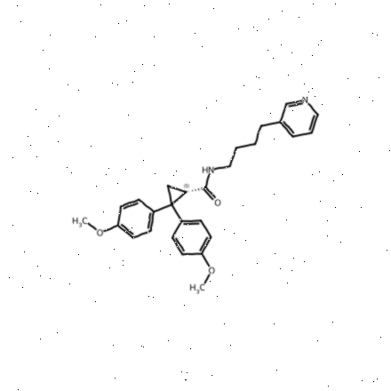 COc1ccc(C2(c3ccc(OC)cc3)C[C@@H]2C(=O)NCCCCc2cccnc2)cc1